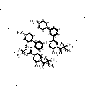 C[C@@H]1CN(C(=O)OC(C)(C)C)[C@@H](c2cccc(N3CCN(C)CC3)c2)CN1C(=O)C(C)(C)C.C[C@@H]1CN[C@@H](c2cccc(N3CCN(C)CC3)c2)CN1C(=O)C(C)(C)C